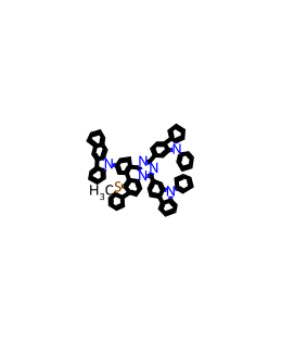 CC12C=CC=CC1c1cccc(-c3cc(-n4c5ccccc5c5cc6ccccc6cc54)ccc3-c3nc(-c4ccc5c6ccccc6n(-c6ccccc6)c5c4)nc(-c4ccc5c6ccccc6n(-c6ccccc6)c5c4)n3)c1S2